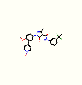 COc1ccc(N2N=C(C)C(C(=O)Nc3cccc(C(C)(F)F)c3)C2=O)cc1-c1cc[n+]([O-])cc1